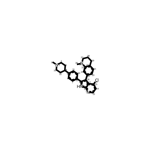 CN1CCC(c2ccc(-c3[nH]c4nccc(Cl)c4c3-c3ccc4c(c3)N(C)CCC4)cc2)CC1